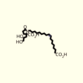 O=C(O)CCCCCCC/C=C\CCCCCCCCN1C(=O)CC[C@@]1(CC(O)CO)C(=O)O